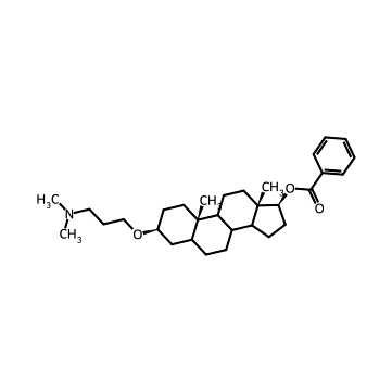 CN(C)CCCO[C@H]1CC[C@@]2(C)C(CCC3C2CC[C@@]2(C)C3CC[C@@H]2OC(=O)c2ccccc2)C1